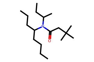 CCCCC(CCC)N(C(=O)CC(C)(C)C)C(C)CC